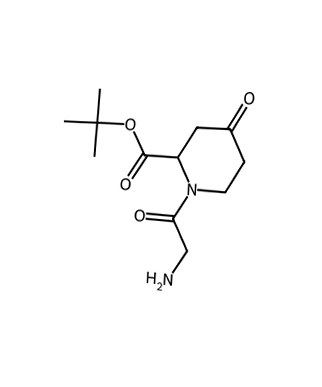 CC(C)(C)OC(=O)C1CC(=O)CCN1C(=O)CN